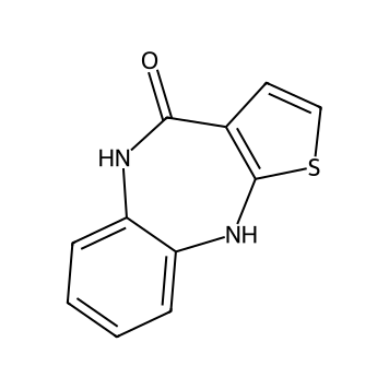 O=C1Nc2ccccc2Nc2sccc21